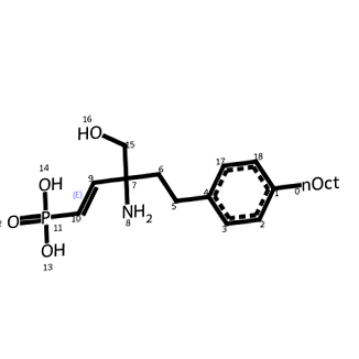 CCCCCCCCc1ccc(CCC(N)(/C=C/P(=O)(O)O)CO)cc1